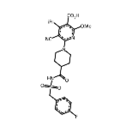 COc1nc(N2CCC(C(=O)NS(=O)(=O)Cc3ccc(F)cc3)CC2)c(C#N)c(C(C)C)c1C(=O)O